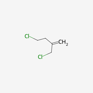 C=C(CCl)CCCl